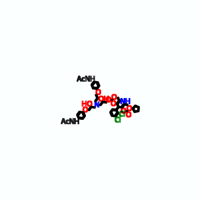 CC(=O)Nc1ccc(OCC(O)CN(CCCOC(=O)OC2=C(C)NC(C)=C(OC(=O)OC3CCCC3)C2c2cccc(Cl)c2Cl)CC(O)COc2ccc(NC(C)=O)cc2)cc1